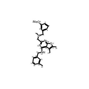 COc1cccc(CN(C)Cc2nc(NCc3cccc(C)c3)c3c(C)c(C)sc3n2)c1